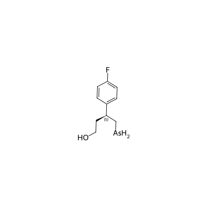 OCC[C@H](C[AsH2])c1ccc(F)cc1